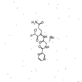 CC(C)(C)C[C@H](NC(=O)c1cnccn1)C(=O)NN(CCC(N)=O)C(=O)C(F)Cl